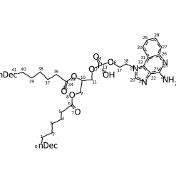 CCCCCCCCCCCCCCCC(=O)OCC(COP(=O)(O)OCCn1cnc2c(N)nc3ccccc3c21)OC(=O)CCCCCCCCCCCCCCC